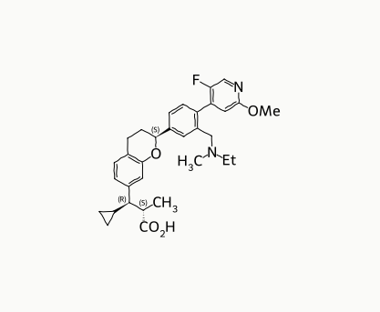 CCN(C)Cc1cc([C@@H]2CCc3ccc([C@H](C4CC4)[C@H](C)C(=O)O)cc3O2)ccc1-c1cc(OC)ncc1F